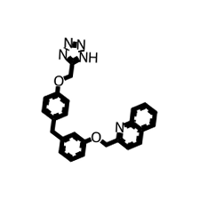 c1cc(Cc2ccc(OCc3nnn[nH]3)cc2)cc(OCc2ccc3ccccc3n2)c1